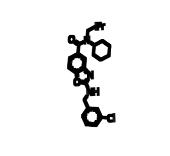 CC(C)CN(C(=O)c1ccc2oc(NCc3cccc(Cl)c3)nc2c1)C1CCCCC1